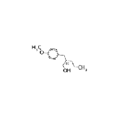 CCC[C@H](CO)Cc1ccc(OC)cc1